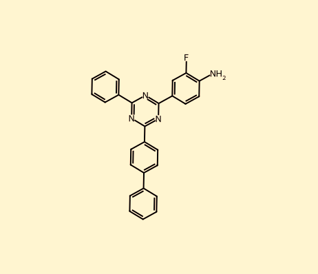 Nc1ccc(-c2nc(-c3ccccc3)nc(-c3ccc(-c4ccccc4)cc3)n2)cc1F